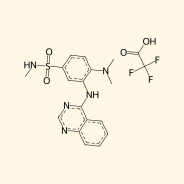 CNS(=O)(=O)c1ccc(N(C)C)c(Nc2ncnc3ccccc23)c1.O=C(O)C(F)(F)F